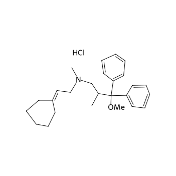 COC(c1ccccc1)(c1ccccc1)C(C)CN(C)CC=C1CCCCC1.Cl